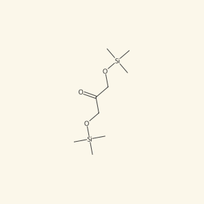 C[Si](C)(C)OCC(=O)CO[Si](C)(C)C